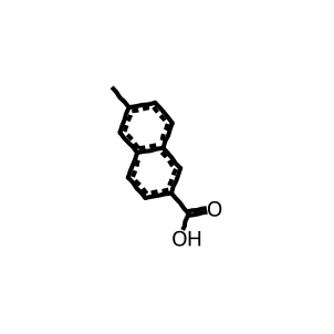 Cc1ccc2cc(C(=O)O)ccc2c1